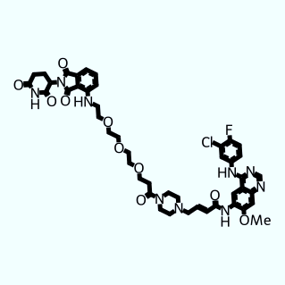 COc1cc2ncnc(Nc3ccc(F)c(Cl)c3)c2cc1NC(=O)/C=C/CN1CCN(C(=O)CCOCCOCCOCCNc2cccc3c2C(=O)N(C2CCC(=O)NC2=O)C3=O)CC1